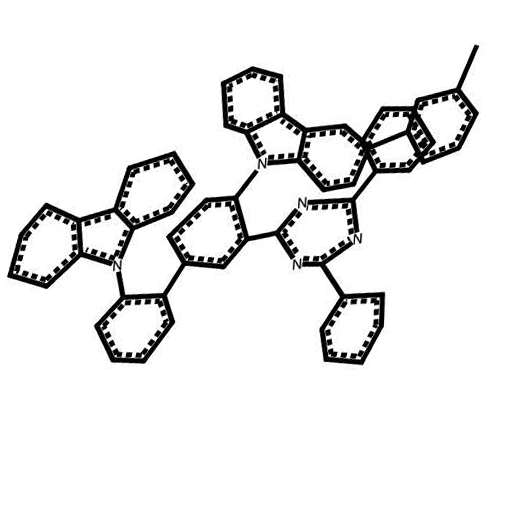 Cc1cccc(-c2ccc3c(c2)c2ccccc2n3-c2ccc(-c3ccccc3-n3c4ccccc4c4ccccc43)cc2-c2nc(-c3ccccc3)nc(-c3ccccc3)n2)c1